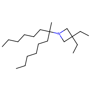 CCCCCCC(C)(CCCCCC)N1CC(CC)(CC)C1